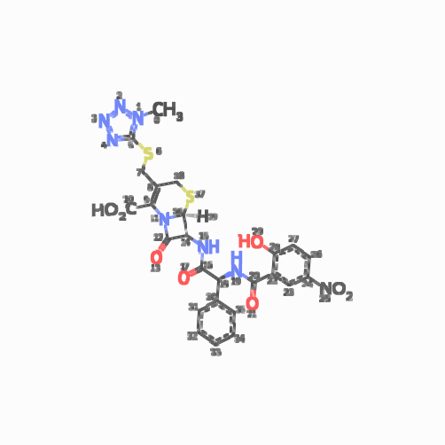 Cn1nnnc1SCC1=C(C(=O)O)N2C(=O)C(NC(=O)[C@@H](NC(=O)c3cc([N+](=O)[O-])ccc3O)c3ccccc3)[C@@H]2SC1